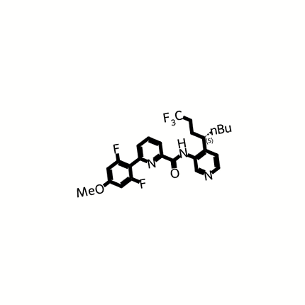 CCCC[C@@H](CCC(F)(F)F)c1ccncc1NC(=O)c1cccc(-c2c(F)cc(OC)cc2F)n1